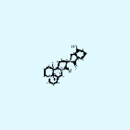 O=C1c2cccc(O)c2CN1C1CC[C@@H]2[C@H]3CCCN4CCC[C@@H](CN2C1=O)[C@@H]34